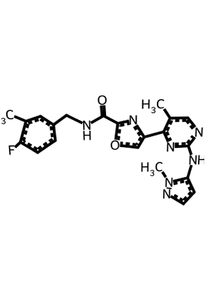 Cc1cc(CNC(=O)c2nc(-c3nc(Nc4ccnn4C)ncc3C)co2)ccc1F